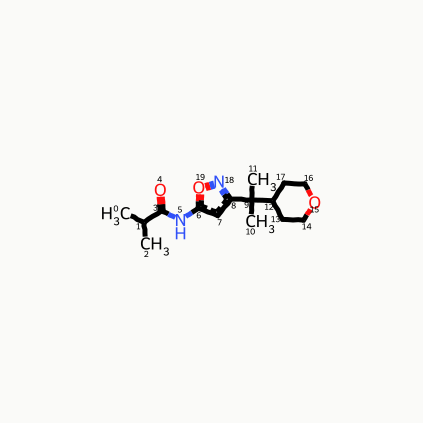 CC(C)C(=O)Nc1cc(C(C)(C)C2CCOCC2)no1